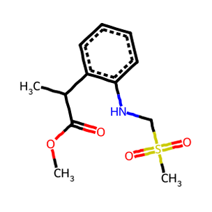 COC(=O)C(C)c1ccccc1NCS(C)(=O)=O